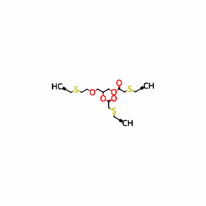 C#CCSCCOCC(COC(=O)CSCC#C)OC(=O)CSCC#C